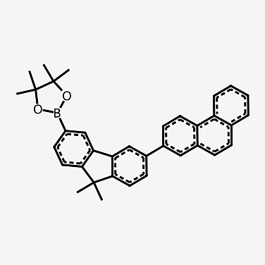 CC1(C)c2ccc(B3OC(C)(C)C(C)(C)O3)cc2-c2cc(-c3ccc4c(ccc5ccccc54)c3)ccc21